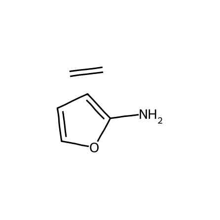 C=C.Nc1ccco1